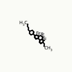 CCCCCC1CC=C(c2ccc3c(c2F)C(F)(F)C(F)(F)c2c-3ccc(CCC)c2F)CC1